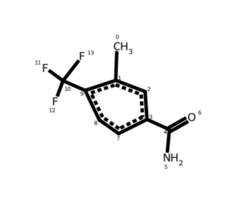 Cc1cc(C(N)=O)ccc1C(F)(F)F